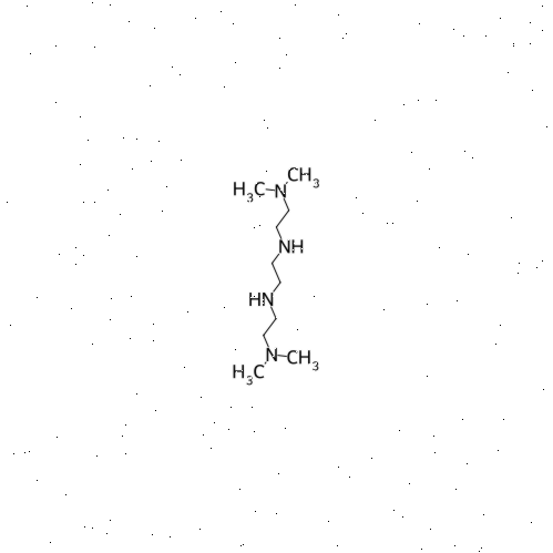 CN(C)CCNCCNCCN(C)C